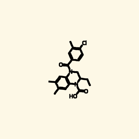 CCC1CN(C(=O)c2ccc(Cl)c(C)c2)c2cc(C)c(C)cc2N1C(=O)O